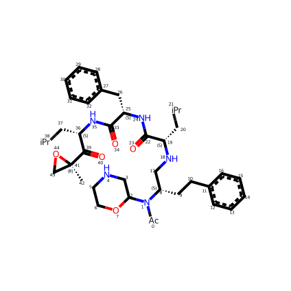 CC(=O)N(C1CNCCO1)[C@@H](CCc1ccccc1)CN[C@@H](CC(C)C)C(=O)N[C@@H](Cc1ccccc1)C(=O)N[C@@H](CC(C)C)C(=O)[C@@]1(C)CO1